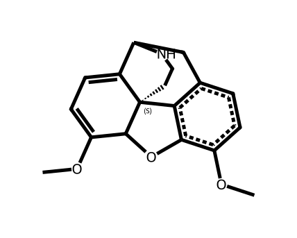 COC1=CC=C2C3Cc4ccc(OC)c5c4[C@@]2(CCN3)C1O5